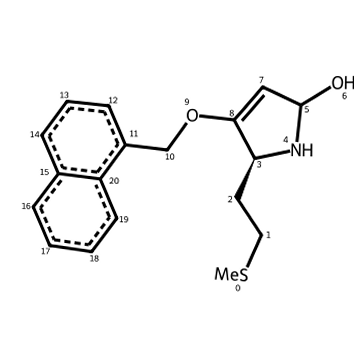 CSCC[C@@H]1NC(O)C=C1OCc1cccc2ccccc12